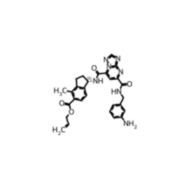 C=CCOC(=O)c1ccc2c(c1C)CC[C@@H]2NC(=O)c1cc(C(=O)NCc2cccc(N)c2)nc2ncnn12